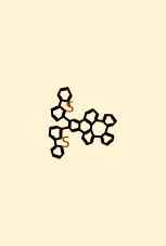 c1ccc2c(c1)sc1c(-c3cc4c(cc3-c3cccc5c3sc3ccccc35)c3cccc5c6ccccc6c6ccccc6c6cccc4c6c53)cccc12